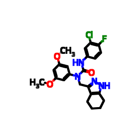 COc1cc(OC)cc(N(Cc2n[nH]c3c2CCCC3)C(=O)Nc2ccc(F)c(Cl)c2)c1